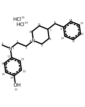 CN(CCN1CCC(Cc2ccccc2)CC1)c1ccc(O)cc1.Cl.Cl